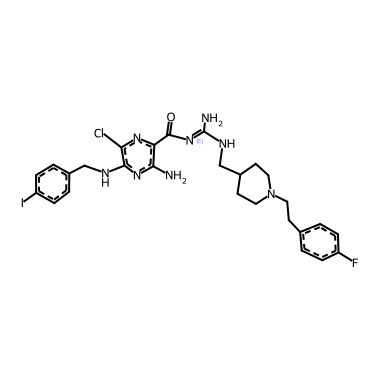 N/C(=N\C(=O)c1nc(Cl)c(NCc2ccc(I)cc2)nc1N)NCC1CCN(CCc2ccc(F)cc2)CC1